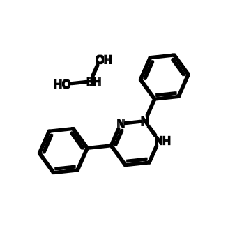 C1=CC(c2ccccc2)=NN(c2ccccc2)N1.OBO